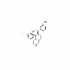 COc1ccc([C@@]23CC(C#N)C(=O)[C@@H](C)[C@@H]2CCc2c(-c4ccc5[nH]cnc5c4)nc(C)nc23)cc1